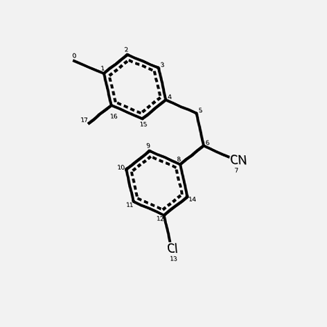 Cc1ccc(CC(C#N)c2cccc(Cl)c2)cc1C